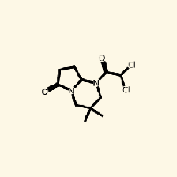 CC1(C)CN2C(=O)CCC2N(C(=O)C(Cl)Cl)C1